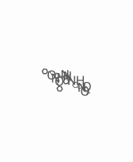 Cn1nc(-c2ccc(OCc3ccccc3)nc2OCc2ccccc2)c2cccc(NC3CCC4CN(C(=O)OC(C)(C)C)CC4C3)c21